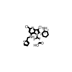 N[C@H]1CCCC[C@@H]1c1c(Cl)c2nc(Cl)cc(NCc3cccs3)c2n1C(F)F.O=CO